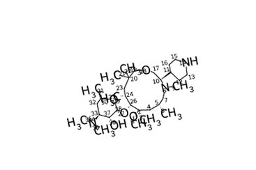 CO[C@]1(C)C[C@@H](C)CN(C)[C@H](C2CCNCC2)COCC(C)(C)C[C@@H](C)[C@H]1O[C@@H]1O[C@H](C)C[C@H](N(C)C)[C@H]1O